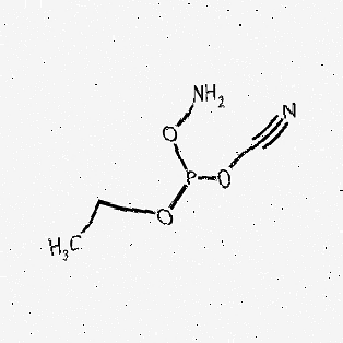 CCOP(ON)OC#N